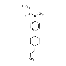 C=CC(=O)N(C)c1ccc(C2CCC(CCC)CC2)cc1